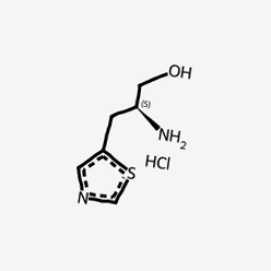 Cl.N[C@H](CO)Cc1cncs1